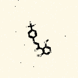 COc1cncc(O)c1C(=O)/C=C/c1ccc(C(F)(F)F)cc1